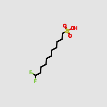 O=S(=O)(O)CCCCCCCCCCC(F)F